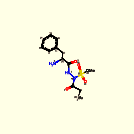 CC[C@H](C)CC(=O)N(NC(=O)[C@@H](N)Cc1ccccc1)S(=O)(=O)OC